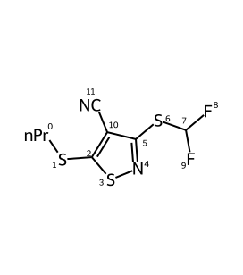 CCCSc1snc(SC(F)F)c1C#N